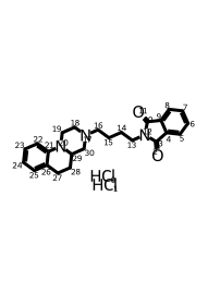 Cl.Cl.O=C1c2ccccc2C(=O)N1CCCCN1CCN2c3ccccc3CCC2C1